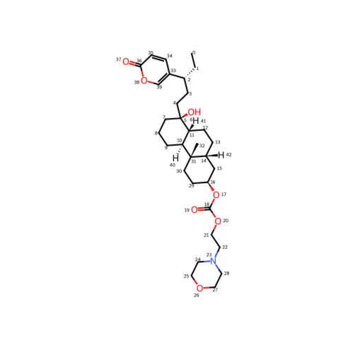 CC[C@H](CC[C@@]1(O)CCC[C@H]2[C@H]1CC[C@@H]1C[C@@H](OC(=O)OCCN3CCOCC3)CC[C@@]12C)c1ccc(=O)oc1